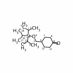 CC(C)[Si](OCC1CCC(=O)CC1)(C(C)C)C(C)C